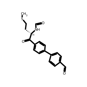 CSCC[C@H](NC=O)C(=O)c1ccc(-c2ccc(C=O)cc2)cc1